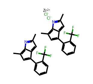 CC1=NC2=C(C)C=C(c3ccccc3C(F)(F)F)C2=C1.CC1=NC2=C(C)C=C(c3ccccc3C(F)(F)F)C2=C1.[Cl-].[Cl-].[Zr+2]